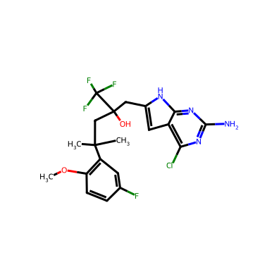 COc1ccc(F)cc1C(C)(C)CC(O)(Cc1cc2c(Cl)nc(N)nc2[nH]1)C(F)(F)F